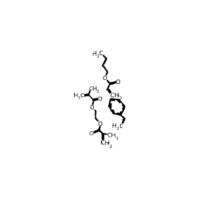 C=C(C)C(=O)OCCOC(=O)C(=C)C.C=CC(=O)OCCCC.C=Cc1ccccc1